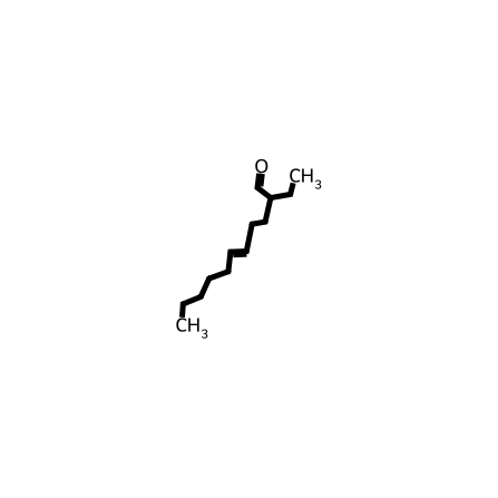 CCCCCC=CCCC(C=O)CC